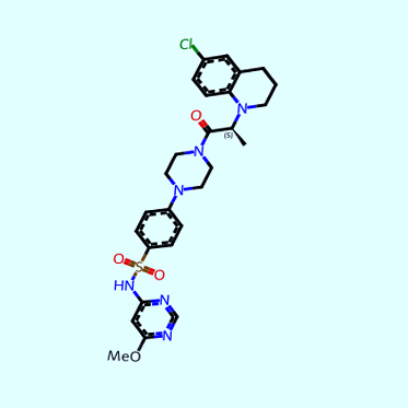 COc1cc(NS(=O)(=O)c2ccc(N3CCN(C(=O)[C@H](C)N4CCCc5cc(Cl)ccc54)CC3)cc2)ncn1